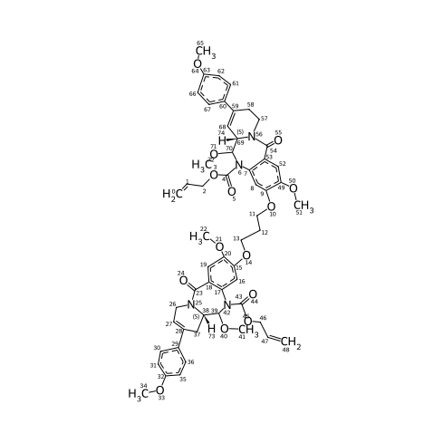 C=CCOC(=O)N1c2cc(OCCCOc3cc4c(cc3OC)C(=O)N3CC=C(c5ccc(OC)cc5)C[C@H]3C(OC)N4C(=O)OCC=C)c(OC)cc2C(=O)N2CCC(c3ccc(OC)cc3)=C[C@H]2C1OC